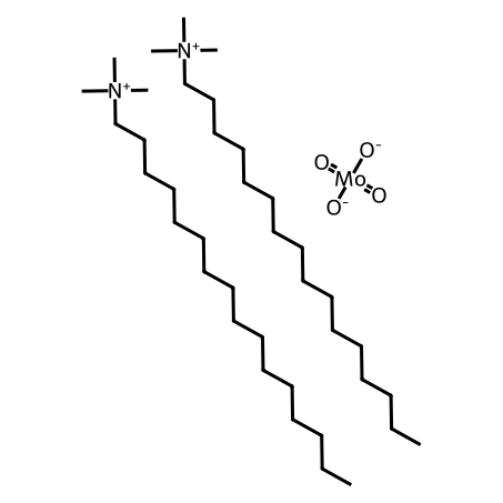 CCCCCCCCCCCCCCCC[N+](C)(C)C.CCCCCCCCCCCCCCCC[N+](C)(C)C.[O]=[Mo](=[O])([O-])[O-]